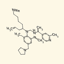 C=CCC(CCCCNC)N(CNC(=C)c1ccnc(C)c1)c1c(C)cc(CN2CCCC2)cc1N=C